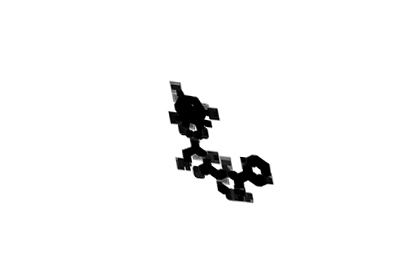 COC[C@@H](NC(=O)c1cnccn1)C(=O)N[C@@H](CC(C)C)B1O[C@@H]2C[C@@H]3C[C@@H](C3(C)C)[C@]2(C)O1